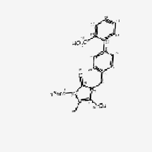 CCCCCn1c(C)c(CCCC)n(Cc2ccc(-c3ccccc3C(=O)O)cc2)c1=O